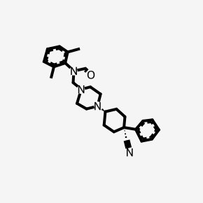 Cc1cccc(C)c1N(C=O)CN1CCN([C@H]2CC[C@](C#N)(c3ccccc3)CC2)CC1